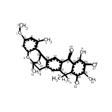 COc1cc(C)c2c(c1)OC1(C)Cc3cc4c(cc3C2O1)C(=O)c1c(O)c(Cl)c(O)c(Cl)c1C4(C)C